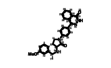 COc1cccc([C@@H](C)NC2CCN(c3ccc(-c4n[nH]c(=O)c5ccccc45)cc3)C2=O)c1